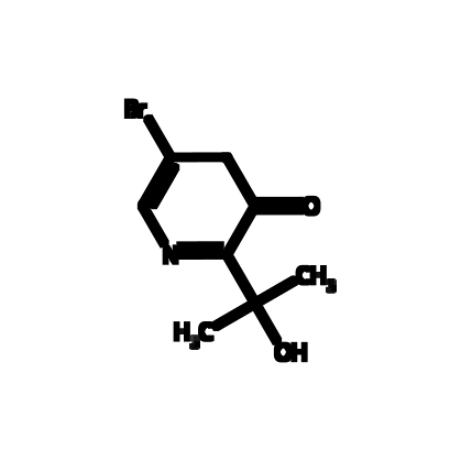 CC(C)(O)C1=NC=C(Br)CC1=O